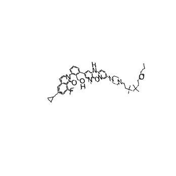 CCCOCCC(C)(C)CC(C)(C)CCN1CCN(c2ccc(Nc3cc(-c4cccc(-n5ccc6cc(C7CC7)cc(F)c6c5=O)c4CO)cn(C)c3=O)nc2)CC1